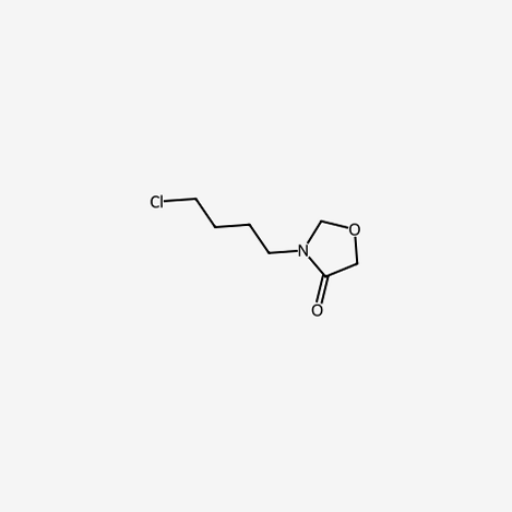 O=C1COCN1CCCCCl